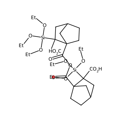 CCO[Si](OCC)(OCC)C1(C(=O)O)CC2CCC1(C(=O)OC(=O)C13CCC(C1)CC3(C(=O)O)[Si](OCC)(OCC)OCC)C2